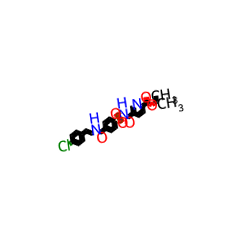 CC(C)OC(=O)c1ccc(C(=O)NS(=O)(=O)c2ccc(C(=O)NCCc3ccc(Cl)cc3)cc2)cn1